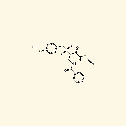 COc1ccc(CS(=O)(=O)C(CNC(=O)c2ccccc2)C(=O)NCC#N)cc1